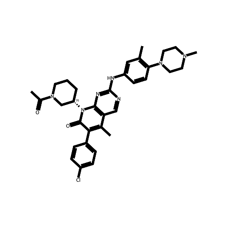 CC(=O)N1CCC[C@H](n2c(=O)c(-c3ccc(Cl)cc3)c(C)c3cnc(Nc4ccc(N5CCN(C)CC5)c(C)c4)nc32)C1